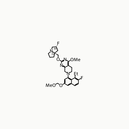 CCc1c(F)ccc2cc(OCOC)cc(N3CCc4c(nc(OC[C@@]56CCCN5C[C@H](F)C6)nc4OC)C3)c12